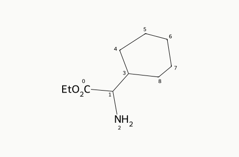 CCOC(=O)C(N)C1CCCCC1